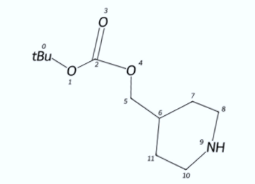 CC(C)(C)OC(=O)OCC1CCNCC1